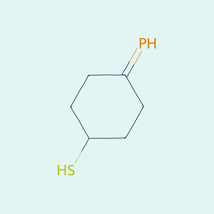 P=C1CCC(S)CC1